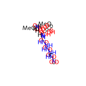 COc1cccc2c1C(=O)c1c(O)c3c(c(O)c1C2=O)C[C@@](O)(C(=O)N1CC2CC[C@@H]1CN2C(=O)CNC(=O)CNC(=O)CNC(=O)CNC(=O)CNC(=O)CCN1C(=O)C=CC1=O)C[C@@H]3O[C@H]1C[C@H]2[C@H](O[C@@H]3[C@@H](OC)OCCN32)[C@H](C)O1